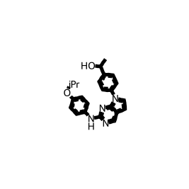 CC(C)Oc1ccc(Nc2ncc3ccn(-c4ccc(C(C)O)cc4)c3n2)cc1